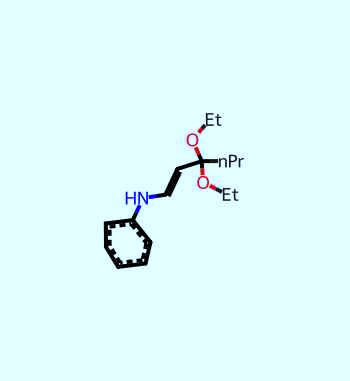 CCCC(C=CNc1ccccc1)(OCC)OCC